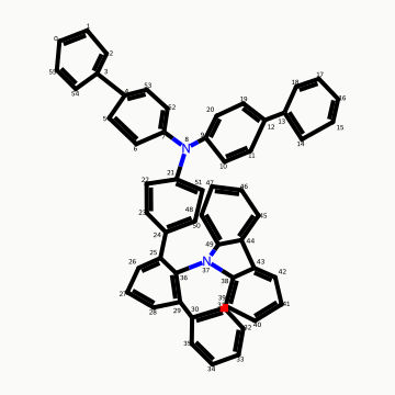 c1ccc(-c2ccc(N(c3ccc(-c4ccccc4)cc3)c3ccc(-c4cccc(-c5ccccc5)c4-n4c5ccccc5c5ccccc54)cc3)cc2)cc1